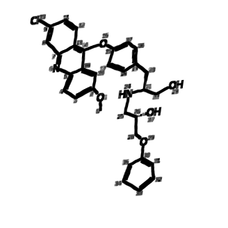 COc1ccc2nc3cc(Cl)ccc3c(Oc3ccc(C[C@@H](CO)NC[C@H](O)COc4ccccc4)cc3)c2c1